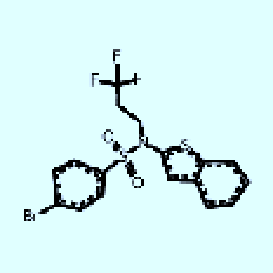 O=S(=O)(c1ccc(Br)cc1)N(CCC(F)(F)F)c1cc2ccccc2s1